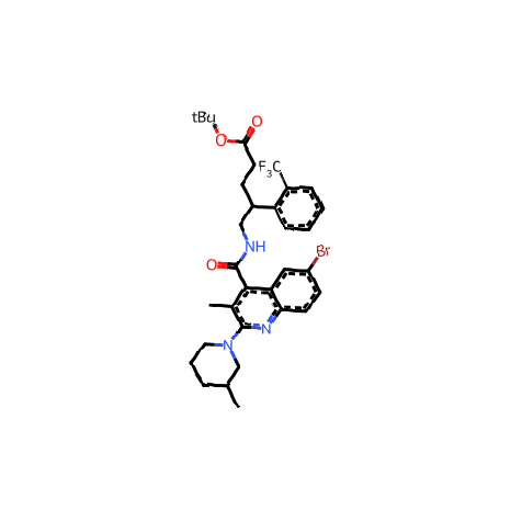 Cc1c(N2CCCC(C)C2)nc2ccc(Br)cc2c1C(=O)NCC(CCC(=O)OC(C)(C)C)c1ccccc1C(F)(F)F